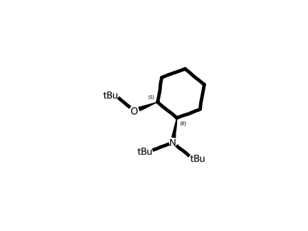 CC(C)(C)O[C@H]1CCCC[C@H]1N(C(C)(C)C)C(C)(C)C